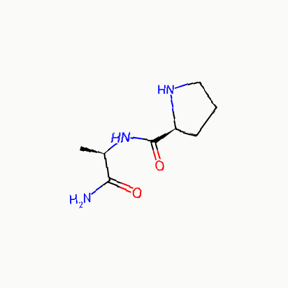 C[C@@H](NC(=O)[C@@H]1CCCN1)C(N)=O